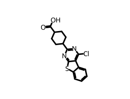 O=C(O)C1CCC(c2nc(Cl)c3c(n2)sc2ccccc23)CC1